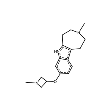 CN1CCc2[nH]c3cc(OC4CN(C)C4)ccc3c2CC1